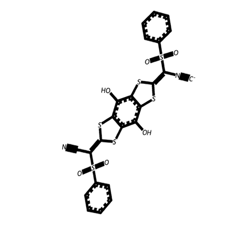 [C-]#[N+]C(=C1Sc2c(O)c3c(c(O)c2S1)SC(=C(C#N)S(=O)(=O)c1ccccc1)S3)S(=O)(=O)c1ccccc1